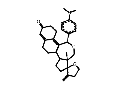 C=C1CCOC12CCC1C3CCC4=CC(=O)CCC4=C3[C@@H](c3ccc(N(C)C)cc3)OC[C@@]12C